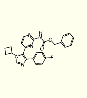 O=C(Nc1nccc(-c2c(-c3ccc(F)cc3)ncn2C2CCC2)n1)OCc1ccccc1